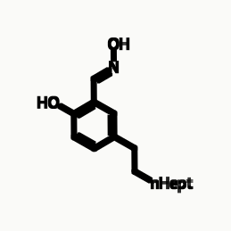 CCCCCCCCCc1ccc(O)c(C=NO)c1